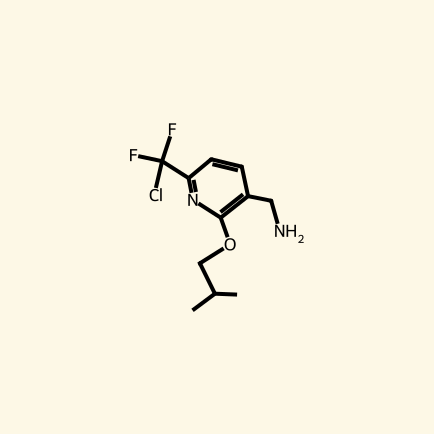 CC(C)COc1nc(C(F)(F)Cl)ccc1CN